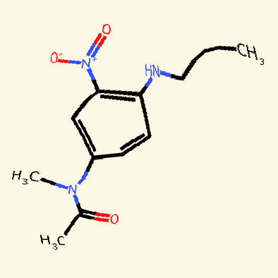 CCCNc1ccc(N(C)C(C)=O)cc1[N+](=O)[O-]